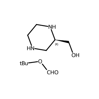 CC(C)(C)OC=O.OC[C@H]1CNCCN1